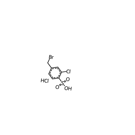 Cl.O=S(=O)(O)c1ccc(CBr)cc1Cl